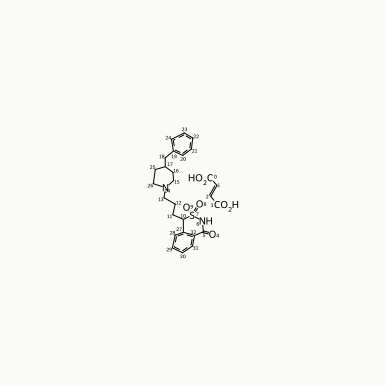 O=C(O)/C=C/C(=O)O.O=C1NS(=O)(=O)C(CCCN2CCC(Cc3ccccc3)CC2)c2ccccc21